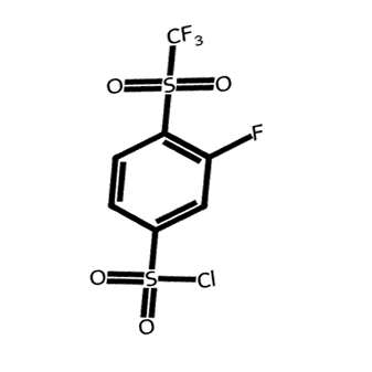 O=S(=O)(Cl)c1ccc(S(=O)(=O)C(F)(F)F)c(F)c1